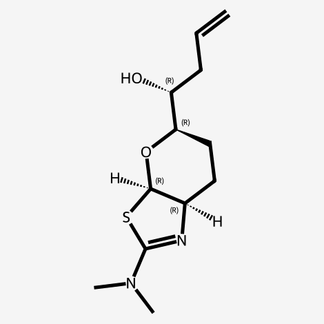 C=CC[C@@H](O)[C@H]1CC[C@H]2N=C(N(C)C)S[C@H]2O1